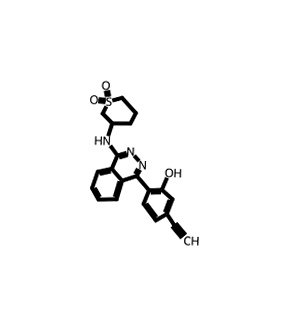 C#Cc1ccc(-c2nnc(NC3CCCS(=O)(=O)C3)c3ccccc23)c(O)c1